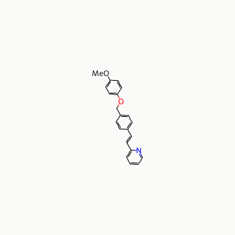 COc1ccc(OCc2ccc(/C=C/c3ccccn3)cc2)cc1